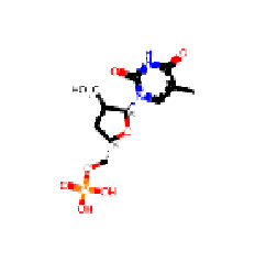 Cc1cn([C@@H]2O[C@H](COP(=O)(O)O)CC2C(=O)O)c(=O)[nH]c1=O